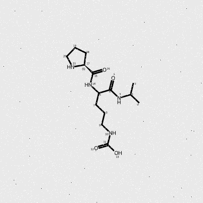 CC(C)NC(=O)C(CCCNC(=O)O)NC(=O)[C@@H]1CCCN1